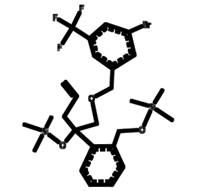 C=CCC(COCc1cc(Br)cc(C(F)(F)F)c1)(O[Si](C)(C)C)c1ccccc1CO[Si](C)(C)C